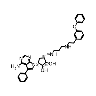 Nc1ncnc2c1c(-c1ccccc1)cn2[C@@H]1C[C@H](CNCCCNCCc2cccc(Oc3ccccc3)c2)[C@@H](O)[C@H]1O